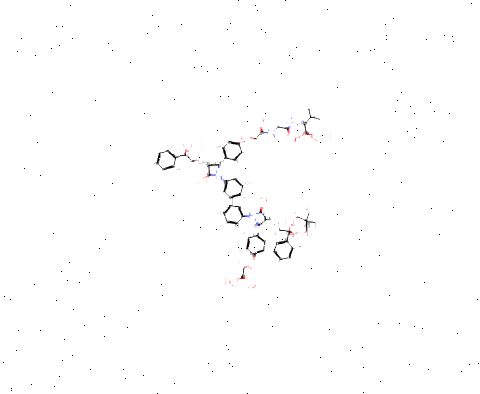 CC(C)[C@@H](NC(=O)CNC(=O)COc1ccc([C@@H]2[C@@H](SCC(O)c3ccccc3)C(=O)N2c2ccccc2)cc1)C(=O)O.CC1(C)COC(CS[C@H]2C(=O)N(c3ccccc3)[C@@H]2c2ccc(OCC(=O)O)cc2)(c2ccccc2)OC1